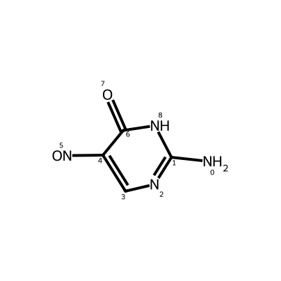 Nc1ncc(N=O)c(=O)[nH]1